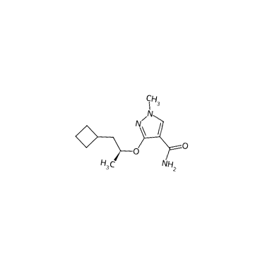 C[C@@H](CC1CCC1)Oc1nn(C)cc1C(N)=O